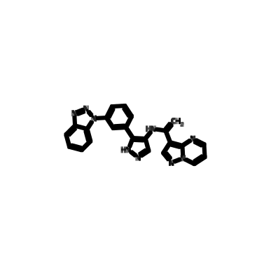 C=C(Nc1cn[nH]c1-c1cccc(-n2nnc3ccccc32)c1)c1cnn2cccnc12